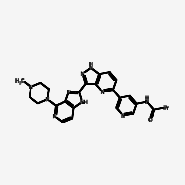 CC(C)C(=O)Nc1cncc(-c2ccc3[nH]nc(-c4nc5c(N6CCN(C)CC6)nccc5[nH]4)c3n2)c1